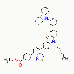 CCCCCCN1c2ccc(-c3cccc(-n4c5ccccc5c5ccccc54)c3)cc2Sc2cc(-c3ccc(-c4ccc(C(=O)OCC)cc4)c4nsnc34)ccc21